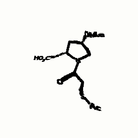 CO[C@H]1C[C@@H](C(=O)O)N(C(=O)CSC(C)=O)C1